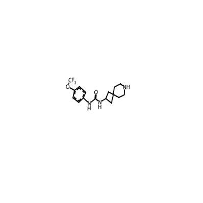 O=C(Nc1ccc(OC(F)(F)F)cc1)NC1CC2(CCNCC2)C1